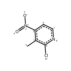 Cc1c([N+](=O)[O-])ccnc1Cl